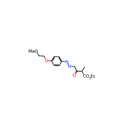 CCOC(=O)C(C)C(=O)CN=Nc1ccc(OCCOC)cc1